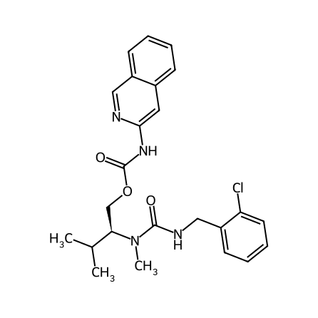 CC(C)[C@@H](COC(=O)Nc1cc2ccccc2cn1)N(C)C(=O)NCc1ccccc1Cl